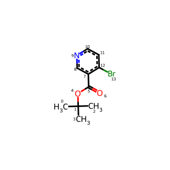 CC(C)(C)OC(=O)c1cnccc1Br